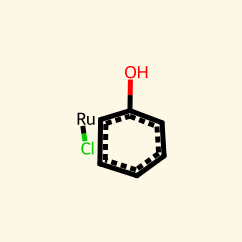 Oc1ccccc1.[Cl][Ru]